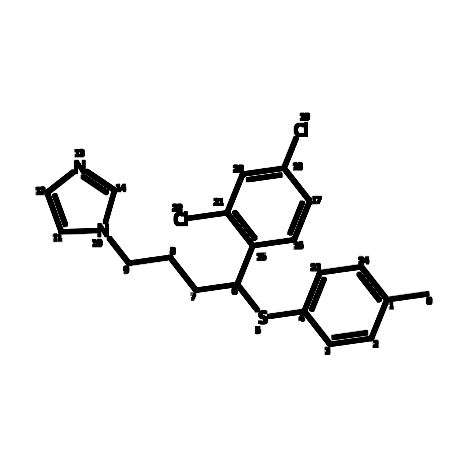 Cc1ccc(SC(CCCn2ccnc2)c2ccc(Cl)cc2Cl)cc1